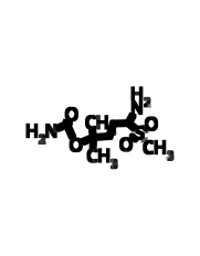 CC(C)(CCC(N)S(C)(=O)=O)OC(N)=O